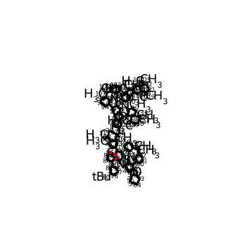 Cc1cc2c(cc1N1c3cc4c(cc3B3c5c(cc6c(oc7cc(CC8(C)CCC(C)(C)c9cc%10sc%11cc%12c(cc%11c%10cc98)B8c9c(cc%10c(oc%11ccccc%11%10)c9-c9cccc%10c9N8c8ccccc8C%10(C)C)N%12c8ccc(C(C)(C)C)cc8-c8ccccc8)ccc76)c51)-c1cccc5c1N3c1ccccc1C5(C)C)C(C)(C)c1cc3c(cc1-4)C(C)(C)CCC3(C)C)C(C)(C)CCC2(C)C